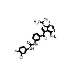 CC(C)n1cc(C(=O)c2cccc(NC(=O)Nc3ccc(F)c(Cl)c3)c2)c2c(N)ncnc21